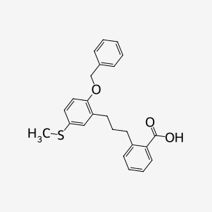 CSc1ccc(OCc2ccccc2)c(CCCc2ccccc2C(=O)O)c1